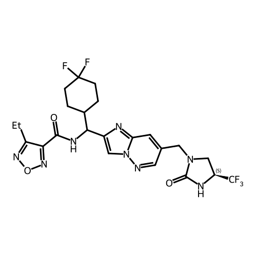 CCc1nonc1C(=O)NC(c1cn2ncc(CN3C[C@@H](C(F)(F)F)NC3=O)cc2n1)C1CCC(F)(F)CC1